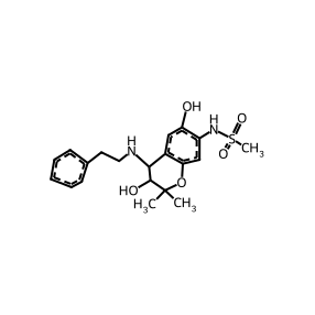 CC1(C)Oc2cc(NS(C)(=O)=O)c(O)cc2C(NCCc2ccccc2)C1O